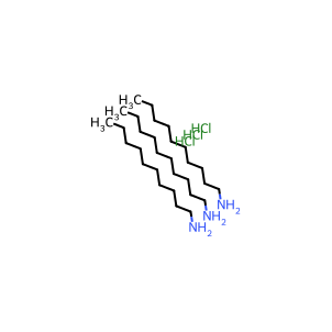 CCCCCCCCCCN.CCCCCCCCCCN.CCCCCCCCCCN.Cl.Cl.Cl